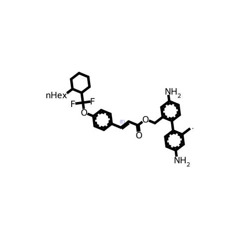 [CH2]c1cc(N)ccc1-c1ccc(N)cc1COC(=O)/C=C/c1ccc(OC(F)(F)C2CCCCC2CCCCCC)cc1